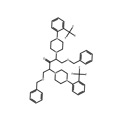 O=C(C(COCc1ccccc1)N1CCN(c2ccccc2C(F)(F)F)CC1)C(COCc1ccccc1)N1CCN(c2ccccc2C(F)(F)F)CC1